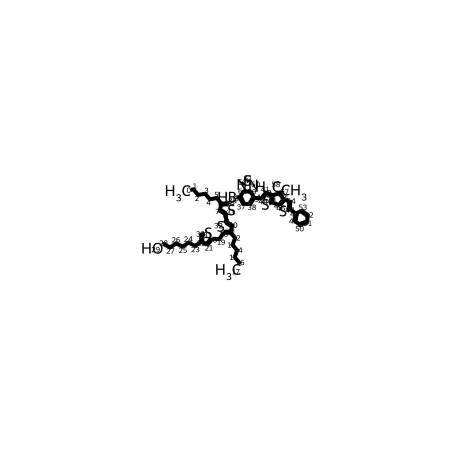 CCCCCCc1cc(-c2cc(CCCCCC)c(Cc3cc(CCCCCCO)cs3)s2)sc1Bc1ccc(-c2cc3c(s2)-c2sc(-c4ccccc4)cc2C3(C)C)c2nsnc12